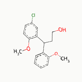 COc1ccccc1C(CCO)c1cc(Cl)ccc1OC